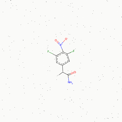 CC(C(N)=O)c1cc(F)c([N+](=O)[O-])c(F)c1